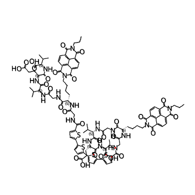 CCCN1C(=O)c2ccc3c4c(ccc(c24)C1=O)C(=O)N(CCCC[C@H](NC(=O)CNC(=O)c1ccc(-c2ccc(-c4ccc(-c5ccc(C(=O)NCC(=O)N[C@@H](CCCCN6C(=O)c7ccc8c9c(ccc(c79)C6=O)C(=O)N(CCC)C8=O)C(=O)NCC(=O)N[C@H](C(=O)N[C@@H](CCC(=O)O)C(=O)N[C@H](C(=O)O)C(C)C)C(C)C)s5)s4)s2)s1)C(=O)NCC(=O)N[C@H](C(=O)N[C@@H](CCC(=O)O)C(=O)N[C@H](C(=O)O)C(C)C)C(C)C)C3=O